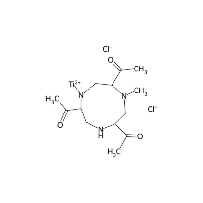 CC(=O)C1CN(C)C(C(C)=O)C[N]([Ti+2])C(C(C)=O)CN1.[Cl-].[Cl-]